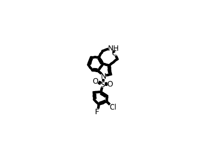 O=S(=O)(c1ccc(F)c(Cl)c1)n1cc2c3c(cccc31)CNCC2